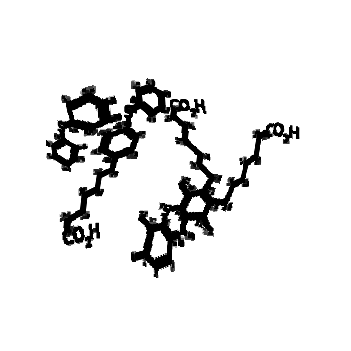 Cc1ccc(C)c(Sc2c(C)c(C)c(CCCCCCC(=O)O)c(CCCCCCC(=O)O)c2C)c1C.O=C(O)CCCCCCc1ccc(Sc2cc[c]cc2)cc1.[c]1ccc(Sc2cc[c]cc2)cc1